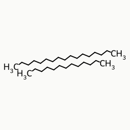 CCCCCCCCCCCCC.CCCCCCCCCCCCCCCCC